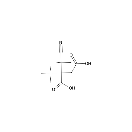 CC(C)(C)C(CC(=O)O)(C(=O)O)C(C)(C)C#N